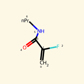 C=C(F)C(=O)NCCC